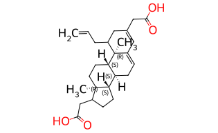 C=CCC1CC(CC(=O)O)=CC2=CC[C@H]3[C@@H]4CCC(CC(=O)O)[C@@]4(C)CC[C@@H]3[C@]21C